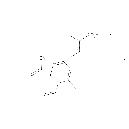 C=CC#N.C=Cc1ccccc1C.CC=C(C)C(=O)O